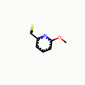 COc1cccc([C]=S)n1